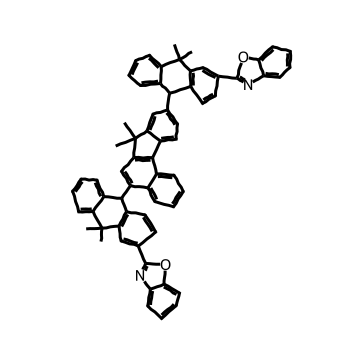 CC1(C)c2ccccc2C(c2ccc3c(c2)C(C)(C)c2cc(C4c5ccccc5C(C)(C)c5cc(-c6nc7ccccc7o6)ccc54)c4ccccc4c2-3)c2ccc(-c3nc4ccccc4o3)cc21